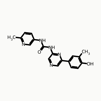 Cc1ccc(NC(=O)Nc2cncc(-c3ccc(O)c(C)c3)n2)cn1